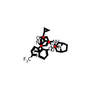 O=C(Nc1cccc(-c2ccc(C(F)(F)F)nc2)c1)N1C2CCC1CC(OCc1c(-c3c(Cl)cccc3Cl)noc1C1CC1)C2